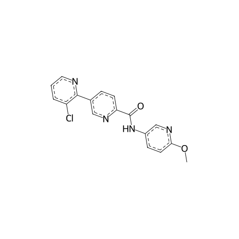 COc1ccc(NC(=O)c2ccc(-c3ncccc3Cl)cn2)cn1